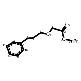 CCCOC(=O)COCCCc1ccccc1